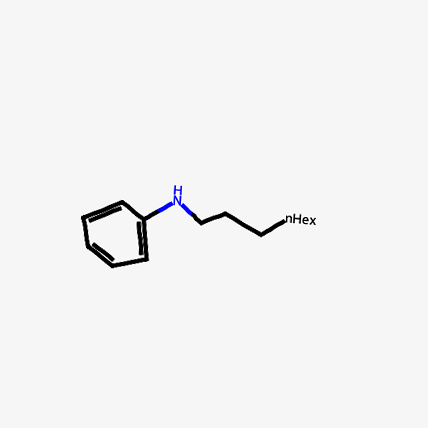 CCCCCCCCCNc1ccccc1